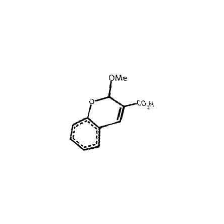 COC1Oc2ccccc2C=C1C(=O)O